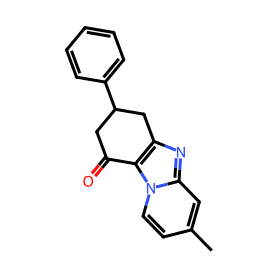 Cc1ccn2c3c(nc2c1)CC(c1ccccc1)CC3=O